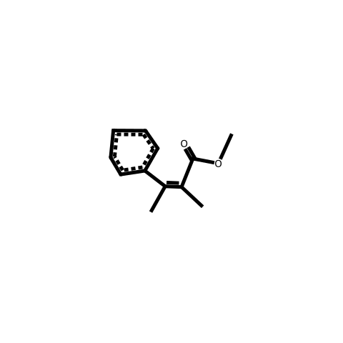 COC(=O)C(C)=C(C)c1ccccc1